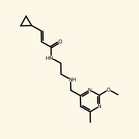 COc1nc(C)cc(CNCCNC(=O)/C=C/C2CC2)n1